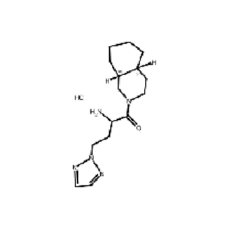 Cl.NC(CCn1nccn1)C(=O)N1CC[C@H]2CCCC[C@H]2C1